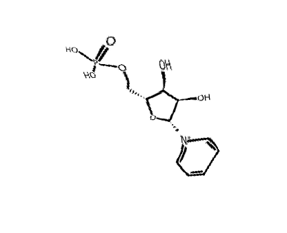 O=P(O)(O)OC[C@H]1O[C@@H]([n+]2ccccc2)[C@H](O)[C@@H]1O